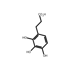 O=C(O)CCc1ccc(O)c(O)c1O